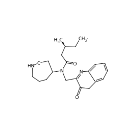 [CH2]C[C@H](C)CC(=O)N(CC1=Nc2ccccc2CC1=O)C1CCCNCC1